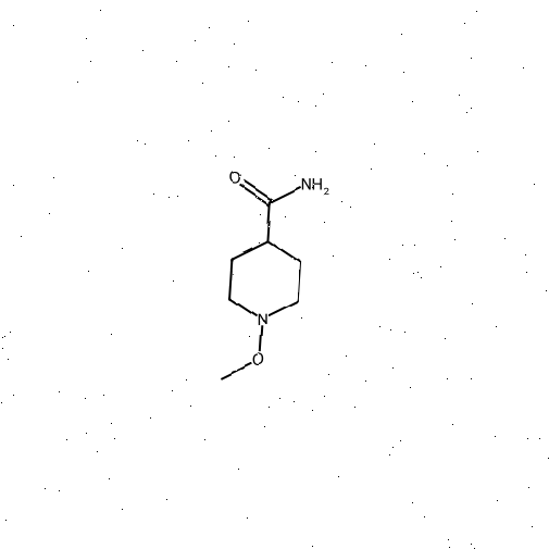 CON1CCC(C(N)=O)CC1